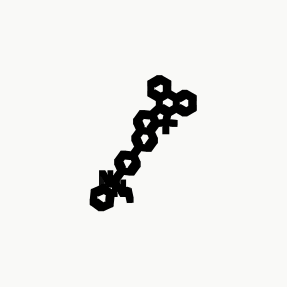 CCn1c(-c2ccc(-c3ccc4c5c(ccc4c3)-c3c(c4ccccc4c4ccccc34)C5(C)C)cc2)nc2ccccc21